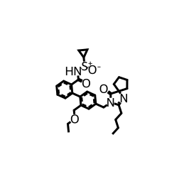 CCCCC1=NC2(CCCC2)C(=O)N1Cc1ccc(-c2ccccc2C(=O)N[S+]([O-])C2CC2)c(COCC)c1